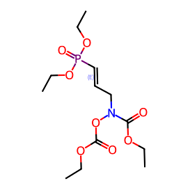 CCOC(=O)ON(C/C=C/P(=O)(OCC)OCC)C(=O)OCC